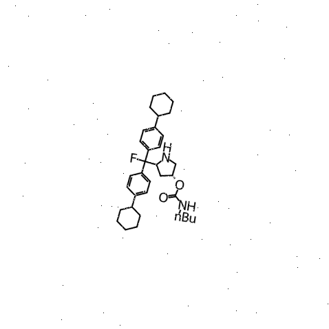 CCCCNC(=O)O[C@H]1CNC(C(F)(c2ccc(C3CCCCC3)cc2)c2ccc(C3CCCCC3)cc2)C1